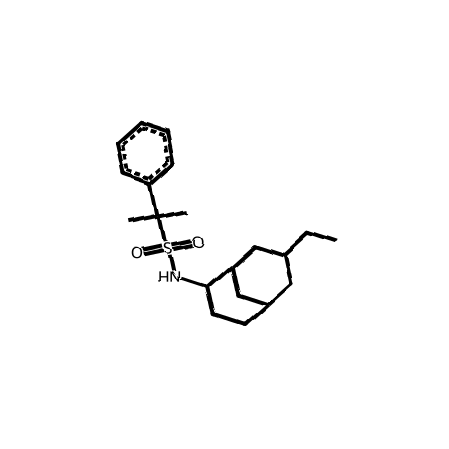 CCC1CC2CCC(NS(=O)(=O)C(C)(C)c3ccccc3)C(C1)C2